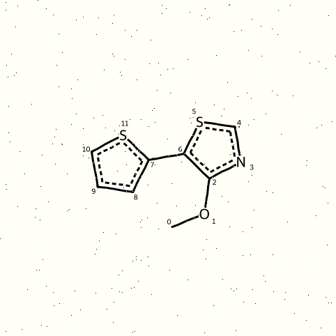 COc1n[c]sc1-c1cccs1